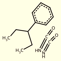 CCC(CC)c1ccccc1.N=C=O.N=C=O